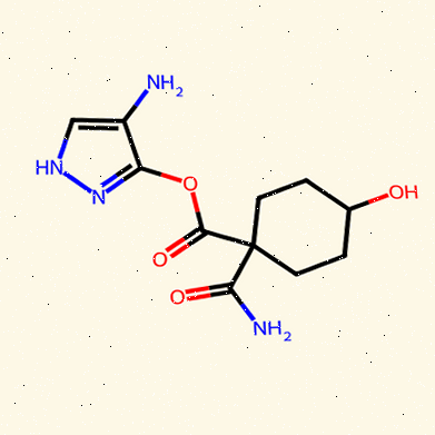 NC(=O)C1(C(=O)Oc2n[nH]cc2N)CCC(O)CC1